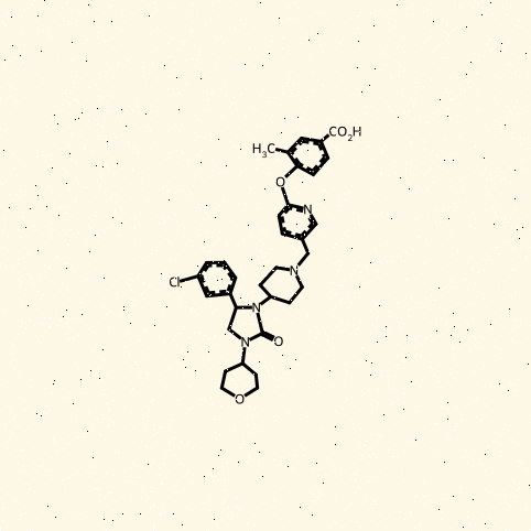 Cc1cc(C(=O)O)ccc1Oc1ccc(CN2CCC(N3C(=O)N(C4CCOCC4)CC3c3cccc(Cl)c3)CC2)cn1